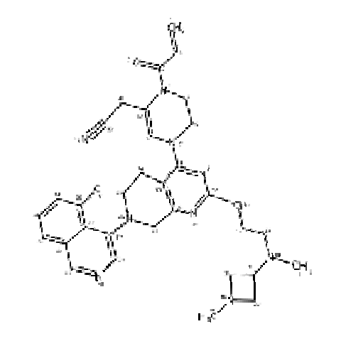 C=CC(=O)N1CCN(c2nc(OCCN(C)C3CN(C)C3)nc3c2CCN(c2cncc4cccc(Cl)c24)C3)C=C1CC#N